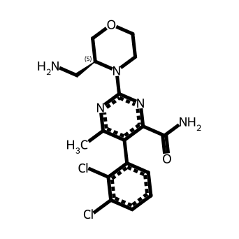 Cc1nc(N2CCOC[C@@H]2CN)nc(C(N)=O)c1-c1cccc(Cl)c1Cl